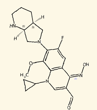 COc1c(N2C[C@@H]3CCCN[C@@H]3C2)c(F)cc2/c(=N\O)c(C=O)cn(C3CC3)c12